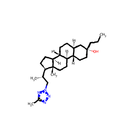 CCC[C@@]1(O)CC[C@H]2[C@@H](CC[C@@H]3[C@@H]2CC[C@]2(C)[C@@H]([C@@H](C)Cn4nnc(C)n4)CC[C@@H]32)C1